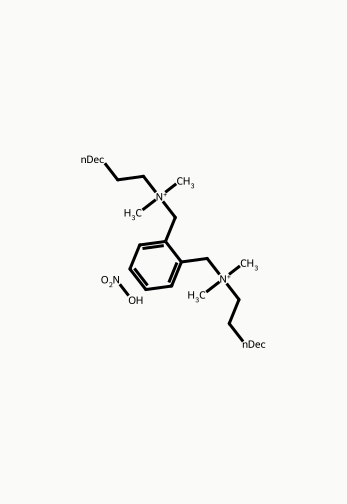 CCCCCCCCCCCC[N+](C)(C)Cc1ccccc1C[N+](C)(C)CCCCCCCCCCCC.O=[N+]([O-])O